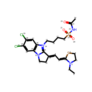 CCN1CCSC1=CC=C1CCn2c1[n+](CCCCS(=O)(=O)NC(C)=O)c1cc(Cl)c(Cl)cc12